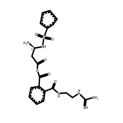 N=C(N)NCCNC(=O)c1ccccc1C(=O)OC(=O)C[C@@H](N)NS(=O)(=O)c1ccccc1